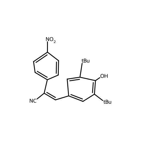 CC(C)(C)c1cc(C=C(C#N)c2ccc([N+](=O)[O-])cc2)cc(C(C)(C)C)c1O